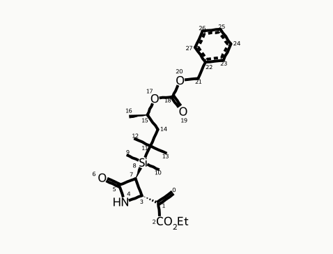 C=C(C(=O)OCC)[C@@H]1NC(=O)[C@H]1[Si](C)(C)C(C)(C)C[C@@H](C)OC(=O)OCc1ccccc1